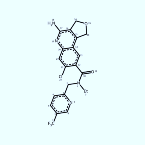 CCN(Cc1ccc(C(F)(F)F)cn1)C(=O)c1cc2c3c(c(N)nc2cc1Cl)COC3